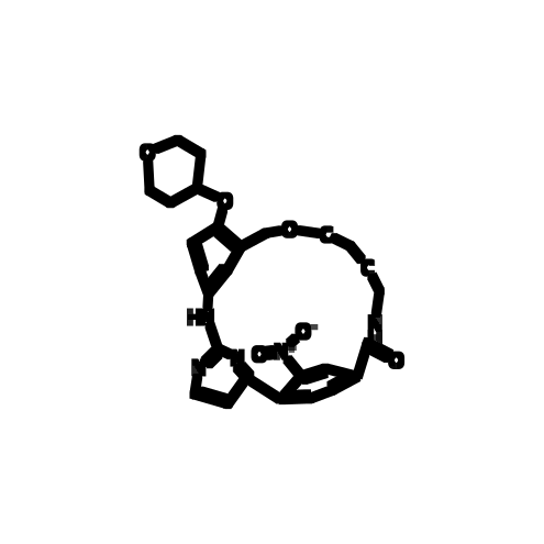 O=C1NCCCCOCc2cc(ccc2OC2CCOCC2)Nc2nccc(n2)-c2ccc1cc2[N+](=O)[O-]